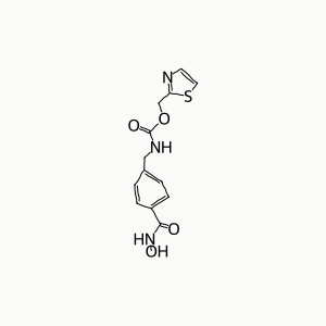 O=C(NCc1ccc(C(=O)NO)cc1)OCc1nccs1